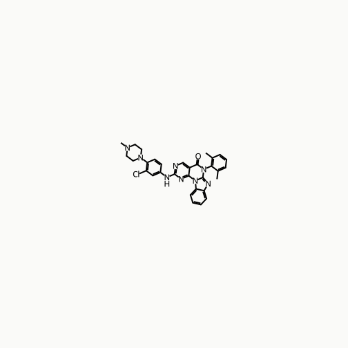 Cc1cccc(C)c1-n1c(=O)c2cnc(Nc3ccc(N4CCN(C)CC4)c(Cl)c3)nc2n2c3ccccc3nc12